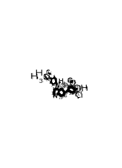 CCN(CC)C1CCC(Nc2[c]cnc3ccc(-c4cc(Cl)c(O)c(OC)c4)cc23)CC1